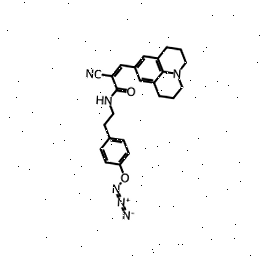 N#C/C(=C/c1cc2c3c(c1)CCCN3CCC2)C(=O)NCCc1ccc(ON=[N+]=[N-])cc1